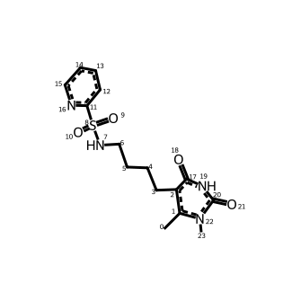 Cc1c(CCCCNS(=O)(=O)c2ccccn2)c(=O)[nH]c(=O)n1C